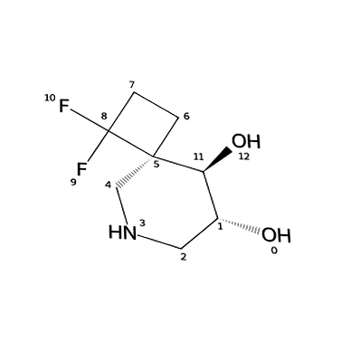 O[C@@H]1CNC[C@]2(CCC2(F)F)[C@H]1O